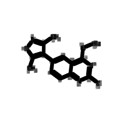 Cc1noc(C)c1-c1ccc2nc(Cl)nc(OC(C)(C)C)c2c1